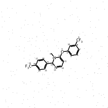 CN1C(Oc2cccc(C(F)(F)F)c2)=CC=NC1c1ccc(C(F)(F)F)cc1